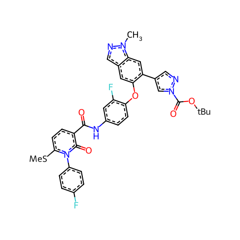 CSc1ccc(C(=O)Nc2ccc(Oc3cc4cnn(C)c4cc3-c3cnn(C(=O)OC(C)(C)C)c3)c(F)c2)c(=O)n1-c1ccc(F)cc1